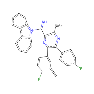 C=C/C=C(\C=C/CF)c1nc(C(=N)n2c3ccccc3c3ccccc32)c(NC)nc1-c1ccc(F)cc1